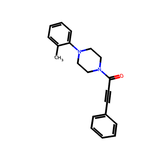 Cc1ccccc1N1CCN(C(=O)C#Cc2ccccc2)CC1